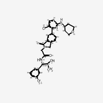 C[C@H](O)[C@@H](NC(=O)CN1Cc2ccc(-c3nc(NC4CCOCC4)ncc3Cl)cc2C1=O)c1cccc(C(F)(F)F)c1